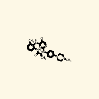 C=CC(=O)Nc1cccc(C)c1Nc1nc(Nc2ccc(N3CCN(C)CC3)cc2)ncc1Cl